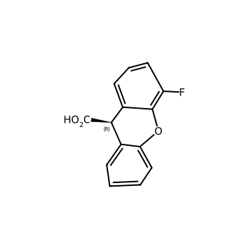 O=C(O)[C@@H]1c2ccccc2Oc2c(F)cccc21